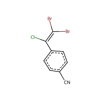 N#Cc1ccc(C(Cl)=C(Br)Br)cc1